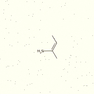 CC=C(C)[SiH2]